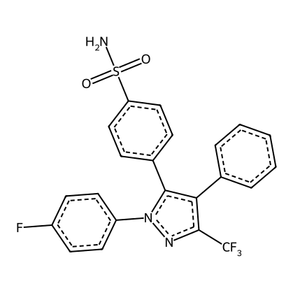 NS(=O)(=O)c1ccc(-c2c(-c3ccccc3)c(C(F)(F)F)nn2-c2ccc(F)cc2)cc1